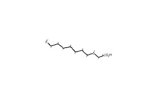 O=C(O)CSCCCCCCCF